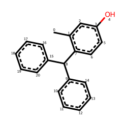 Cc1cc(O)ccc1C(c1ccccc1)c1ccccc1